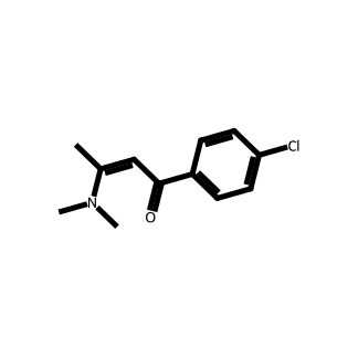 CC(=CC(=O)c1ccc(Cl)cc1)N(C)C